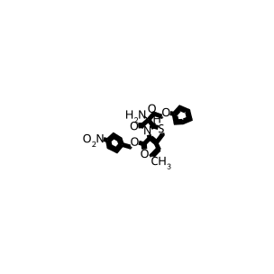 CC=CC1=C(C(=O)OCc2ccc([N+](=O)[O-])cc2)N2C(=O)[C@@](N)(C(=O)COc3ccccc3)[C@@H]2SC1